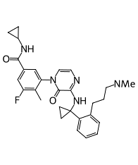 CNCCCc1ccccc1C1(Nc2nccn(-c3cc(C(=O)NC4CC4)cc(F)c3C)c2=O)CC1